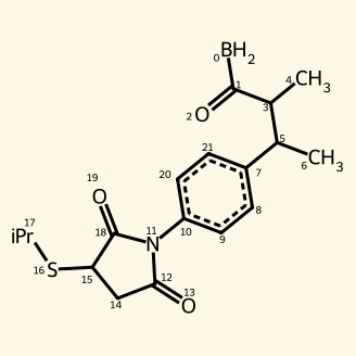 BC(=O)C(C)C(C)c1ccc(N2C(=O)CC(SC(C)C)C2=O)cc1